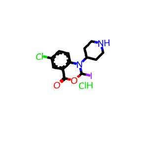 Cl.O=C1OC(I)N(C2CCNCC2)c2ccc(Cl)cc21